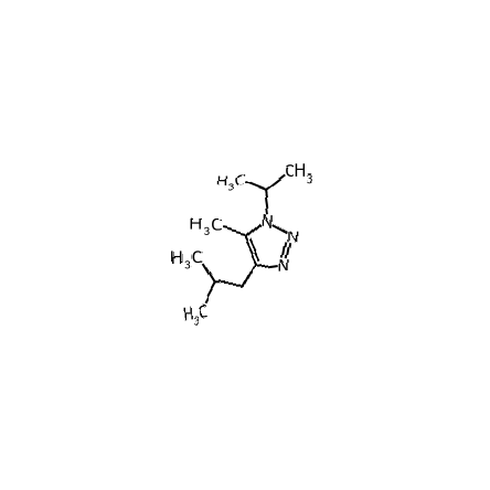 Cc1c(CC(C)C)nnn1C(C)C